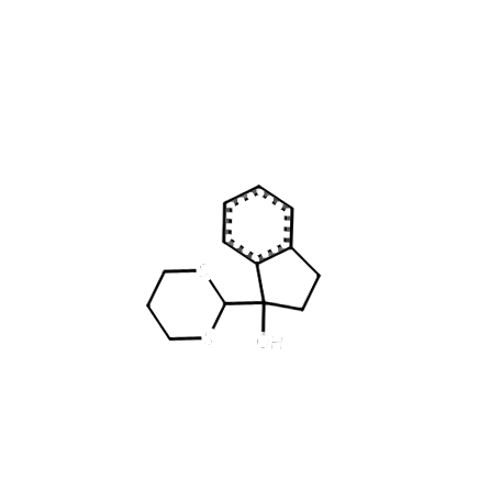 OC1(C2SCCCS2)CCc2ccccc21